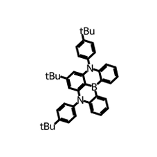 CC(C)(C)c1ccc(N2c3ccccc3B3c4ccccc4N(c4ccc(C(C)(C)C)cc4)c4cc(C(C)(C)C)cc2c43)cc1